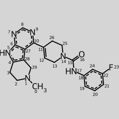 CN1CCc2[nH]c3ncnc(C4=CCN(C(=O)Nc5cccc(F)c5)CC4)c3c2C1